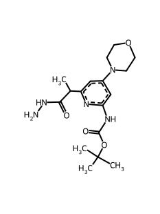 CC(C(=O)NN)c1cc(N2CCOCC2)cc(NC(=O)OC(C)(C)C)n1